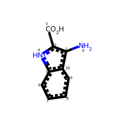 Nc1c(C(=O)O)[nH]c2ccccc12